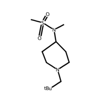 CN(C1CCN(CC(C)(C)C)CC1)S(C)(=O)=O